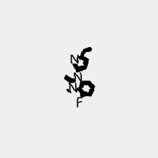 C=Cc1ccc(N2C(=C)N(C)c3c(F)cccc32)cn1